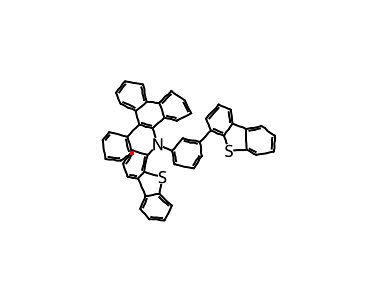 c1ccc(-c2c(N(c3cccc(-c4cccc5c4sc4ccccc45)c3)c3cccc4c3sc3ccccc34)c3ccccc3c3ccccc23)cc1